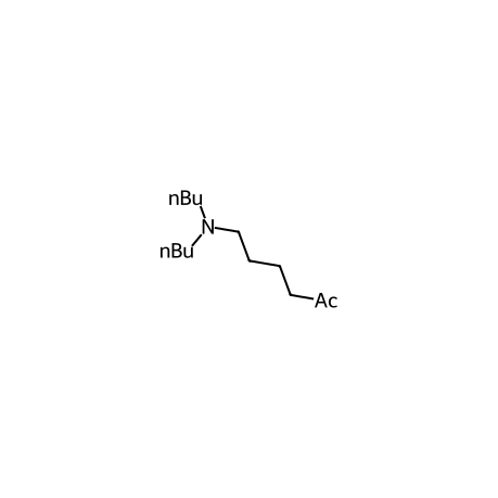 CCCCN(CCCC)CCCCC(C)=O